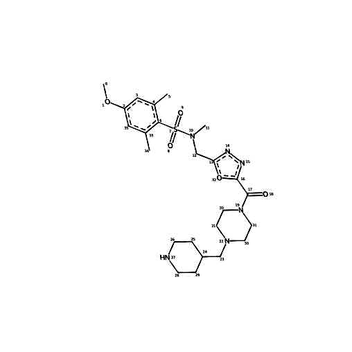 COc1cc(C)c(S(=O)(=O)N(C)Cc2nnc(C(=O)N3CCN(CC4CCNCC4)CC3)o2)c(C)c1